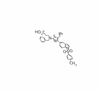 Cc1ccc(S(=O)(=O)n2ccc3cc(-c4nc(N(CCC(=O)O)Cc5ccccc5)sc4CC(C)C)ccc32)cc1